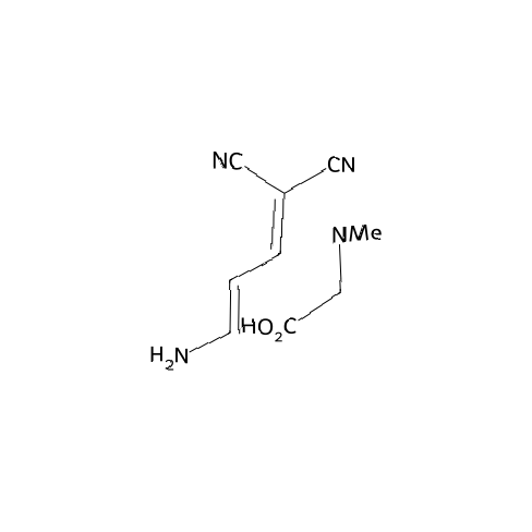 CNCC(=O)O.N#CC(C#N)=CC=CN